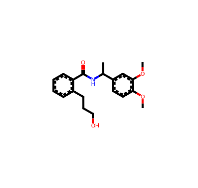 COc1ccc(C(C)NC(=O)c2ccccc2CCCO)cc1OC